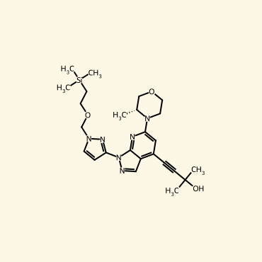 C[C@@H]1COCCN1c1cc(C#CC(C)(C)O)c2cnn(-c3ccn(COCC[Si](C)(C)C)n3)c2n1